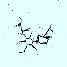 CCn1c(=O)c(NC(=O)C(=O)OC)c(C)n(-c2cccc(C(F)(F)F)c2)c1=O